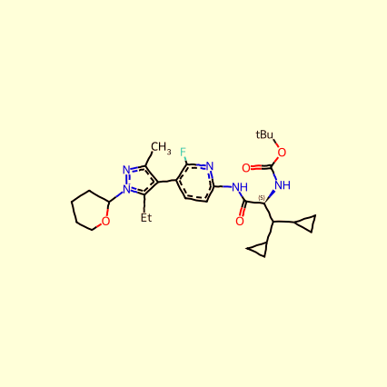 CCc1c(-c2ccc(NC(=O)[C@@H](NC(=O)OC(C)(C)C)C(C3CC3)C3CC3)nc2F)c(C)nn1C1CCCCO1